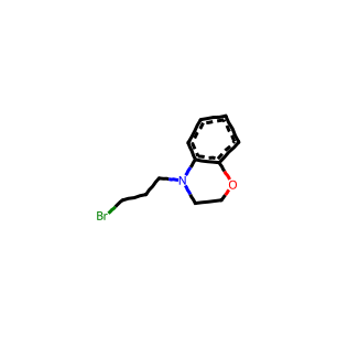 BrCCCN1CCOc2ccccc21